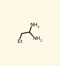 [CH2]CC[C](N)N